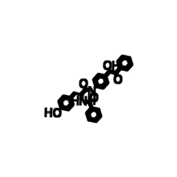 O=C(N[C@@H](Cc1ccc(O)cc1)C(=O)Nc1ccc(C(O)C(=O)c2ccccc2)cc1)c1ccccc1